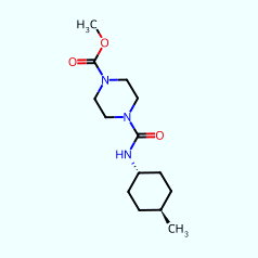 COC(=O)N1CCN(C(=O)N[C@H]2CC[C@H](C)CC2)CC1